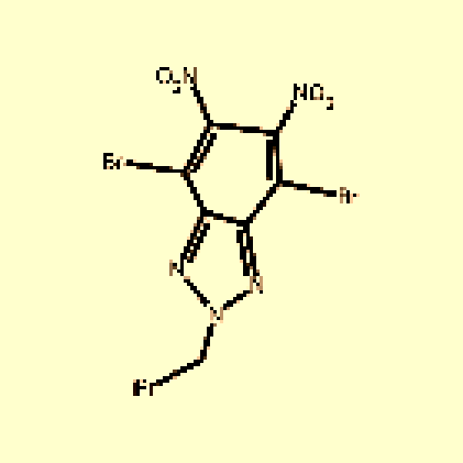 CC(C)Cn1nc2c(Br)c([N+](=O)[O-])c([N+](=O)[O-])c(Br)c2n1